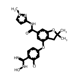 Cn1ccc(NC(=O)c2cc(Oc3ccc(C(=N)NO)c(Cl)c3)c3c(c2)OC(C)(C)C3)n1